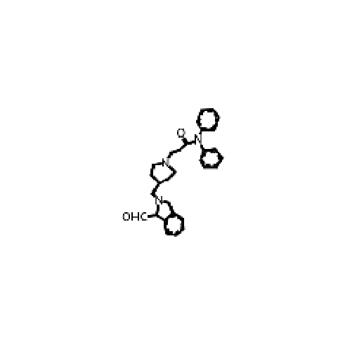 O=CC1c2ccccc2CN1CC1CCN(CCC(=O)N(c2ccccc2)c2ccccc2)CC1